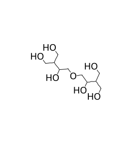 OCC(CO)C(O)COCC(O)C(CO)CO